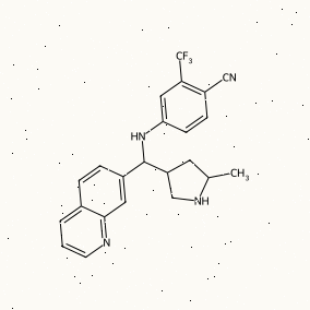 CC1CC(C(Nc2ccc(C#N)c(C(F)(F)F)c2)c2ccc3cccnc3c2)CN1